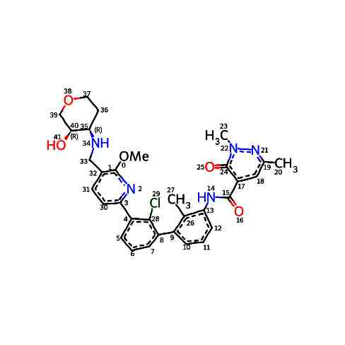 COc1nc(-c2cccc(-c3cccc(NC(=O)c4cc(C)nn(C)c4=O)c3C)c2Cl)ccc1CN[C@@H]1CCOC[C@@H]1O